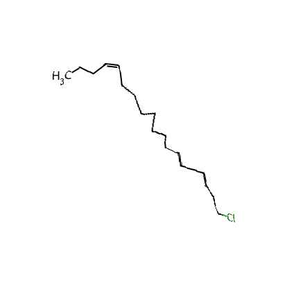 CCC/C=C\CCCCCCCCCCCCCCl